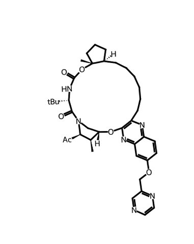 CC(=O)[C@@H]1[C@H](C)[C@@H]2CN1C(=O)[C@H](C(C)(C)C)NC(=O)O[C@]1(C)CCC[C@H]1CCCCCCc1nc3ccc(OCc4cnccn4)cc3nc1O2